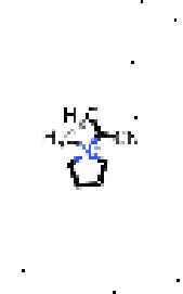 CC(C#N)[N+]1(C)CCCC1